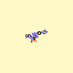 C=CCn1c(=O)c2cnc(Nc3ccc(N4CCN(C)[C@H](C)C4)cc3)nc2n1-c1ccc2c(n1)C(C)CC2